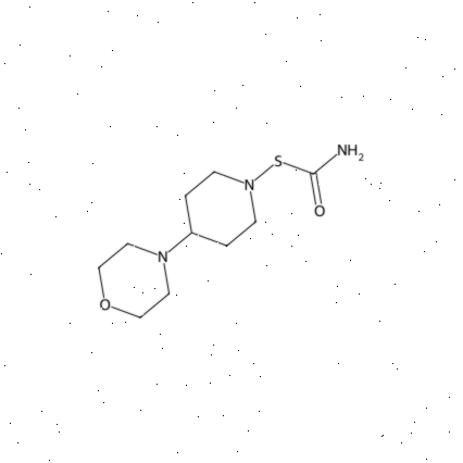 NC(=O)SN1CCC(N2CCOCC2)CC1